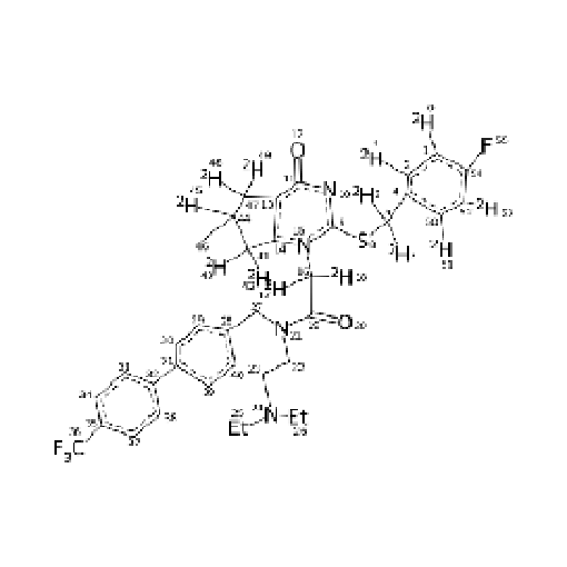 [2H]c1c([2H])c(C([2H])([2H])Sc2nc(=O)c3c(n2C([2H])([2H])C(=O)N(CCN(CC)CC)Cc2ccc(-c4ccc(C(F)(F)F)cc4)cc2)C([2H])([2H])C([2H])(C)C3([2H])[2H])c([2H])c([2H])c1F